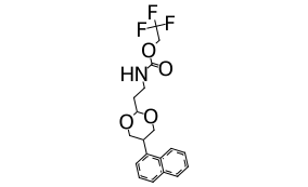 O=C(NCCC1OCC(c2cccc3ccccc23)CO1)OCC(F)(F)F